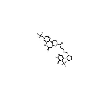 O=C1CC2CN(C(=O)CCOC[C@@H]3CCCN3c3cn[nH]c(=O)c3C(F)(F)F)CCN2c2ncc(C(F)(F)F)cc2N1